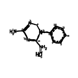 Cl.NC1=NCN(c2ccccc2)C(N)=N1